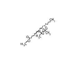 CCCCCC(CCCN(CCCCCCC(=O)OCC)C(C)=O)OC(C)=O